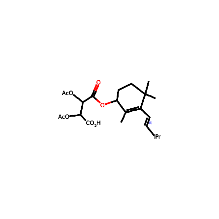 CC(=O)OC(C(=O)O)C(OC(C)=O)C(=O)OC1CCC(C)(C)C(/C=C/C(C)C)=C1C